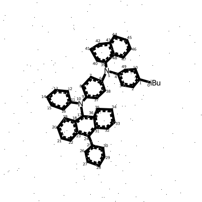 CCC(C)c1ccc(N(c2ccc(N(c3ccccc3)c3c4ccccc4c(-c4ccccc4)c4ccccc34)cc2)c2cccc3ccccc23)cc1